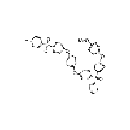 COc1ccc(Oc2ccc(P(=O)(c3ccccc3)c3ccc(Oc4ccc(Oc5ccc(S(=O)(=O)c6ccc(C)cc6)cc5)cc4)cc3)cc2)cc1